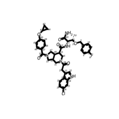 C[C@H](OCc1ccc(F)cc1)[C@H](NC(=O)C1CN(C(=O)Cc2c[nH]c3cc(Cl)ccc23)CC2CN(C(=O)c3ccc(OC4CC4)cc3)CC21)C(N)=O